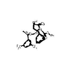 C[C@@H](OC[C@@]1(c2ccccc2)CC(=N)C(=O)N1C(=O)OC(C)(C)C)c1cc(C(F)(F)F)cc(C(F)(F)F)c1